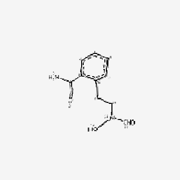 NC(=O)c1ccccc1CCN(O)C=O